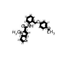 COc1ccc(OCc2ccccc2NC(=O)c2cc3sccc3n2C)cc1